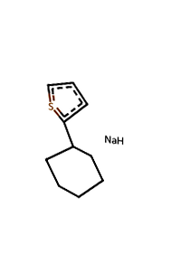 [NaH].c1csc(C2CCCCC2)c1